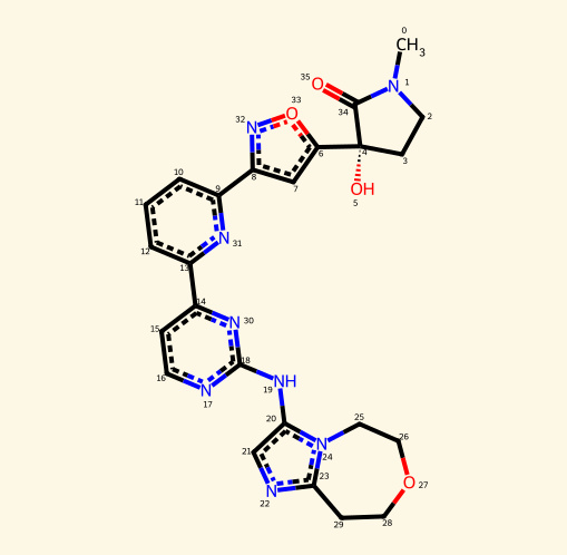 CN1CC[C@@](O)(c2cc(-c3cccc(-c4ccnc(Nc5cnc6n5CCOCC6)n4)n3)no2)C1=O